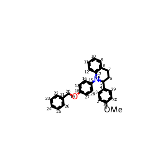 COc1ccc(C2CCc3ccccc3N2c2ccc(OCc3ccccc3)cc2)cc1